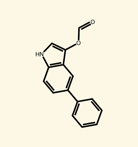 O=COc1c[nH]c2ccc(-c3ccccc3)cc12